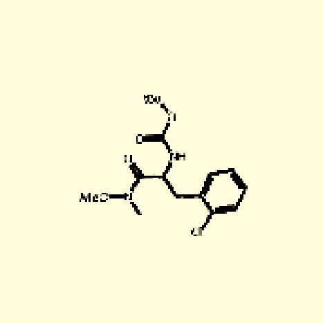 CON(C)C(=O)C(Cc1ccccc1Cl)NC(=O)OC(C)(C)C